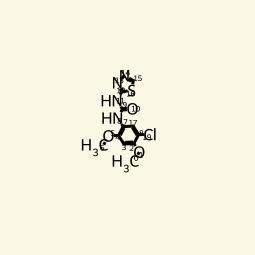 COc1cc(OC)c(NC(=O)Nc2nncs2)cc1Cl